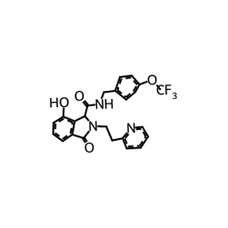 O=C(NCc1ccc(OC(F)(F)F)cc1)C1c2c(O)cccc2C(=O)N1CCc1ccccn1